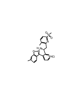 Cc1ccc2c(-c3ccccc3[C@@H](N)Cc3nc(S(C)(=O)=O)ccc3C)noc2c1.Cl